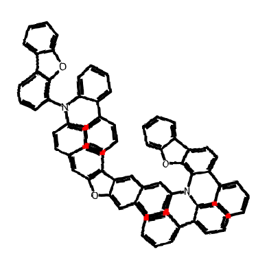 c1ccc(-c2ccccc2N(c2ccc3cc4oc5cc6ccc(N(c7ccccc7-c7ccccc7)c7c(-c8ccccc8)ccc8c7oc7ccccc78)cc6cc5c4cc3c2)c2cccc3c2oc2ccccc23)cc1